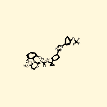 Cc1cccc(C)c1N1/C(=N/C(=O)NC2(c3ccc(-c4ncn(-c5ccc(OC(F)(F)F)cc5)n4)cc3)CC2)SCCC1C